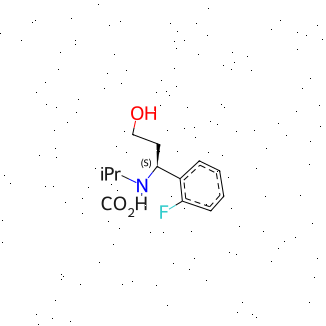 CC(C)N(C(=O)O)[C@@H](CCO)c1ccccc1F